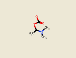 CC(OC([O])=O)N(C)C